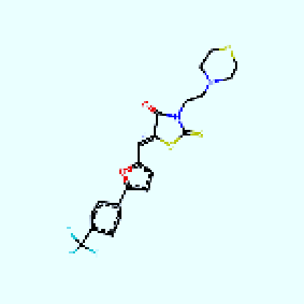 O=C1/C(=C/c2ccc(-c3ccc(C(F)(F)F)cc3)o2)SC(=S)N1CCN1CCSCC1